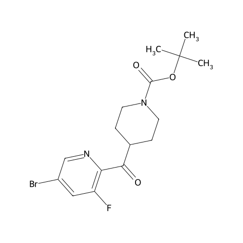 CC(C)(C)OC(=O)N1CCC(C(=O)c2ncc(Br)cc2F)CC1